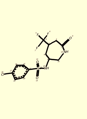 O=C1CC(C(F)(F)F)CC(NS(=O)(=O)c2ccc(Cl)cc2)CN1